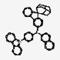 c1ccc2c(c1)-c1cc(N(c3ccc(-n4c5ccccc5c5ccccc54)cc3)c3ccc4ccccc4c3)ccc1C21C2CC3CC(C2)CC1C3